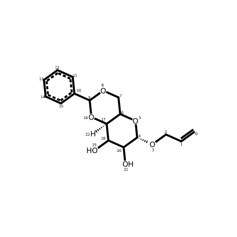 C=CCO[C@H]1OC2COC(c3ccccc3)O[C@@H]2C(O)C1O